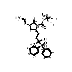 C=CC[C@@H]1CC(CCC(C)(C)[Si](O)(c2ccccc2)c2ccccc2)N(C(=O)OC(C)(C)C)C1=O